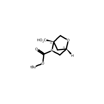 CC(C)(C)OC(=O)N1C[C@@H]2C[C@@]1(C(=O)O)CO2